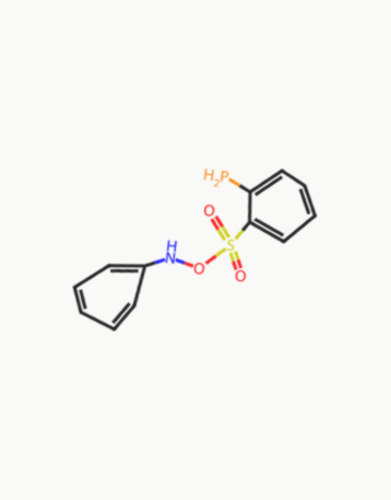 O=S(=O)(ONc1ccccc1)c1ccccc1P